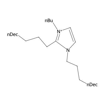 CCCCCCCCCCCCCc1n(CCCCCCCCCCCCC)cc[n+]1CCCC